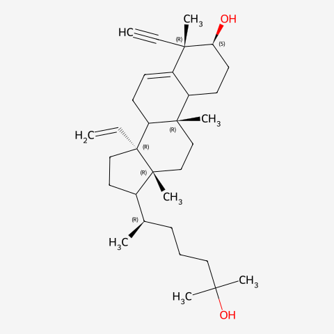 C#C[C@@]1(C)C2=CCC3[C@@](C)(CC[C@]4(C)C([C@H](C)CCCC(C)(C)O)CC[C@@]34C=C)C2CC[C@@H]1O